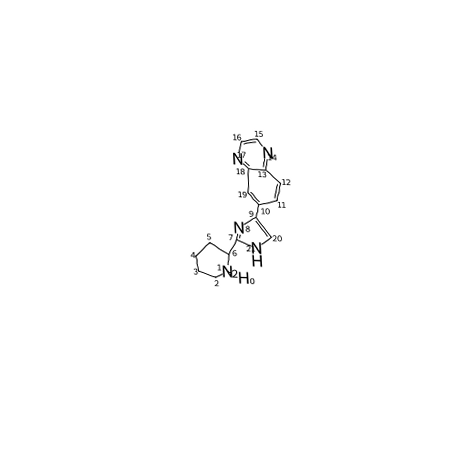 [2H]N1CCCCC1c1nc(-c2ccc3nccnc3c2)c[nH]1